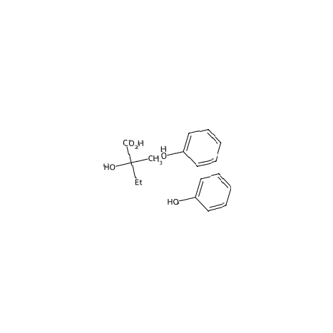 CCC(C)(O)C(=O)O.Oc1ccccc1.Oc1ccccc1